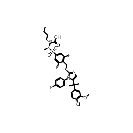 CCCC[C@H](C(=O)O)N(C)S(=O)(=O)c1cc(F)c(CSc2ncc(C(C)(C)c3ccc(Cl)c(OC)c3)n2-c2ccc(F)cc2)c(F)c1